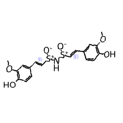 COc1cc(/C=C/[S+]([O-])N[S+]([O-])/C=C/c2ccc(O)c(OC)c2)ccc1O